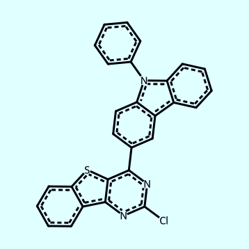 Clc1nc(-c2ccc3c(c2)c2ccccc2n3-c2ccccc2)c2sc3ccccc3c2n1